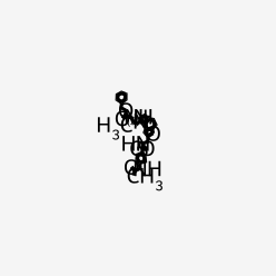 CC(=O)Nc1ccc(S(=O)(=O)NCc2cc3c(ccc4cnn(C[C@H](C)NC(=O)OCc5ccccc5)c43)o2)cc1